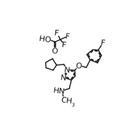 CNCc1cc(OCc2ccc(F)cc2)n(CC2CCCC2)n1.O=C(O)C(F)(F)F